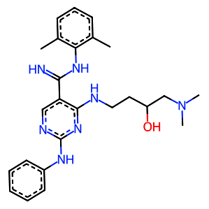 Cc1cccc(C)c1NC(=N)c1cnc(Nc2ccccc2)nc1NCCC(O)CN(C)C